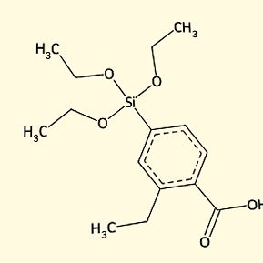 CCO[Si](OCC)(OCC)c1ccc(C(=O)O)c(CC)c1